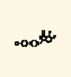 Fc1ccc2c(CN3CCN(c4ccc(Cl)cc4)CC3)n[nH]c2c1F